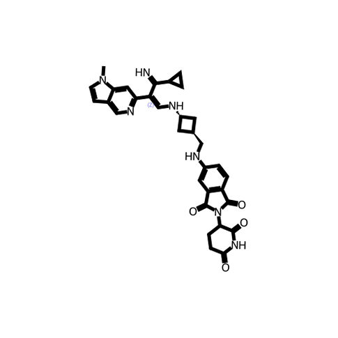 Cn1ccc2cnc(/C(=C/N[C@H]3C[C@H](CNc4ccc5c(c4)C(=O)N(C4CCC(=O)NC4=O)C5=O)C3)C(=N)C3CC3)cc21